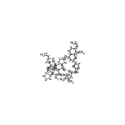 C=C[C@@H]1C[C@]1(NC(=O)[C@@H]1C[C@@H](Oc2cc(-c3csc(NC(=O)CC(C)(C)C)n3)nc3c(C)c(OC)ccc23)CN1C(=O)[C@@H](NC(=O)OC1CCCC1)C(=C)C)C(=O)OC